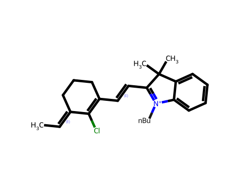 C/C=C1\CCCC(/C=C/C2=[N+](CCCC)c3ccccc3C2(C)C)=C1Cl